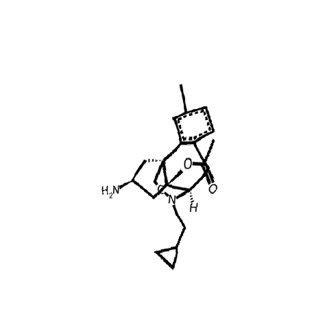 CC(=O)O[C@@]12C[C@@H](N)C[C@@]13CCN(CC1CC1)[C@@H]2Cc1ccc(C)cc13